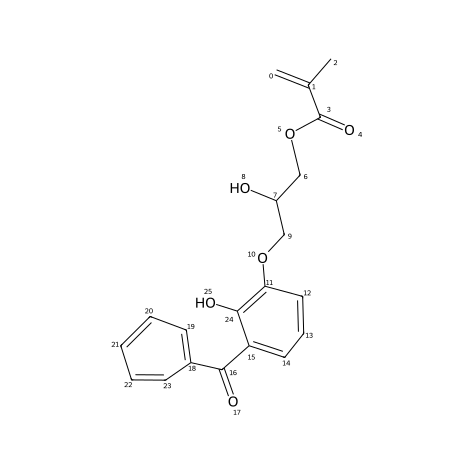 C=C(C)C(=O)OCC(O)COc1cccc(C(=O)c2ccccc2)c1O